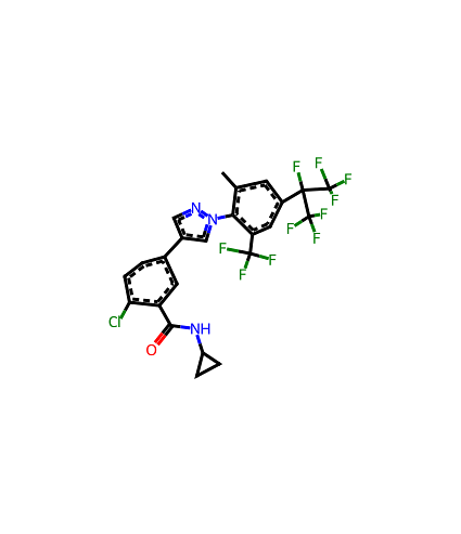 Cc1cc(C(F)(C(F)(F)F)C(F)(F)F)cc(C(F)(F)F)c1-n1cc(-c2ccc(Cl)c(C(=O)NC3CC3)c2)cn1